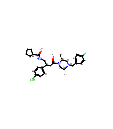 C[C@@H]1CN(C(=O)CC(CNC(=O)C2CCCC2)c2ccc(Cl)cc2)[C@@H](C)CN1Cc1ccc(F)cc1